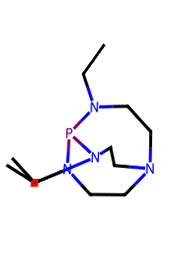 CCN1CCN2CCN(CC)P1N(CC)CC2